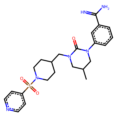 CC1CN(CC2CCN(S(=O)(=O)c3ccncc3)CC2)C(=O)N(c2cccc(C(=N)N)c2)C1